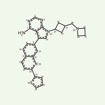 Nc1ncnc2c1c(-c1ccc3ccc(-c4cccs4)nc3c1)cn2C1CC(CN2CCC2)C1